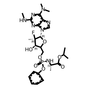 CNc1nc(N(C)C)c2ncn([C@@H]3OC(CO[P@](=O)(N[C@@H](C)C(=O)OC(C)C)Oc4ccccc4)[C@@H](O)[C@@]3(C)F)c2n1